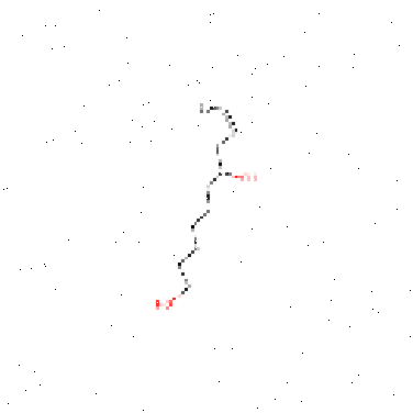 CC/C=C\CC(O)CCCCCCO